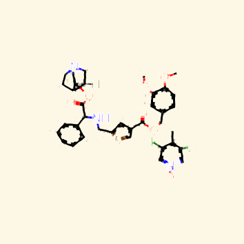 COc1ccc([C@H](Cc2c(Cl)c[n+]([O-])cc2Cl)OC(=O)c2csc(CNC(C(=O)O[C@H]3CN4CCC3CC4)c3ccccc3)c2)cc1OC